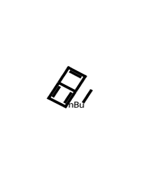 CCCCC.c1cc2ccc1-2